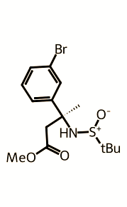 COC(=O)C[C@](C)(N[S+]([O-])C(C)(C)C)c1cccc(Br)c1